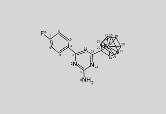 Nc1nc(-c2ccc(F)cc2)cc([C]23[CH]4[CH]5[CH]6[CH]2[Fe]56432789[CH]3[CH]2[CH]7[CH]8[CH]39)n1